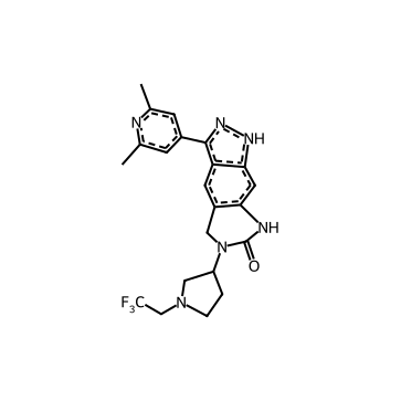 Cc1cc(-c2n[nH]c3cc4c(cc23)CN(C2CCN(CC(F)(F)F)C2)C(=O)N4)cc(C)n1